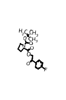 CC(C)(C)OC(=O)N1CCCC1C(=O)OCC(=O)c1ccc(F)cc1